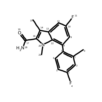 Cc1cc(F)ccc1-c1cc(F)cc2c(C)c(C(N)=O)n(C)c12